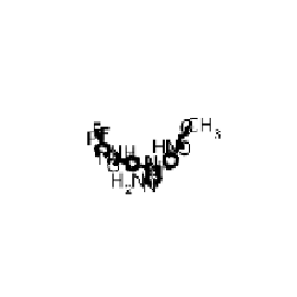 COCCC(=O)N[C@@H]1CCC[C@H](c2nc(-c3ccc(C(=O)Nc4cc(C(F)(F)F)ccn4)cc3)c3c(N)nccn23)C1